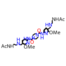 COc1nc(NC(=O)N2CCN(C(=O)Nc3ccc(CNCCNC(C)=O)c(OC)n3)CC2)ccc1CNCCNC(C)=O